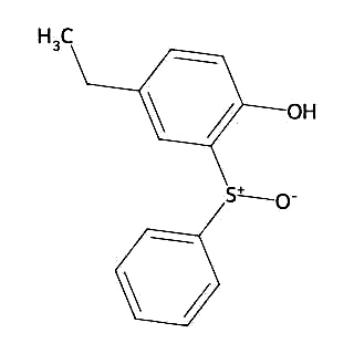 CCc1ccc(O)c([S+]([O-])c2ccccc2)c1